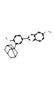 COc1ccc2[nH]c(-c3ccc(OC)c(C45CC6CC(CC(C6)C4)C5)c3)nc2c1